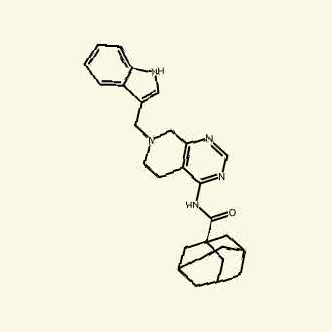 O=C(Nc1ncnc2c1CCN(Cc1c[nH]c3ccccc13)C2)C12CC3CC(CC(C3)C1)C2